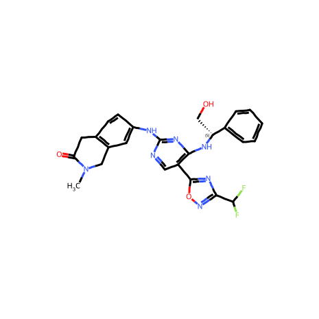 CN1Cc2cc(Nc3ncc(-c4nc(C(F)F)no4)c(N[C@H](CO)c4ccccc4)n3)ccc2CC1=O